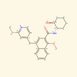 COc1c(C(=O)N[C@H]2CCCC[C@@H]2O)cc(Cc2ccnc(SC)c2)c2ccccc12